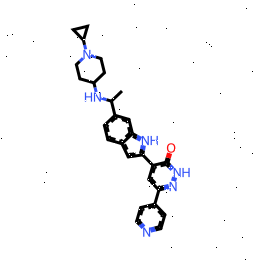 CC(NC1CCN(C2CC2)CC1)c1ccc2cc(-c3cc(-c4ccncc4)n[nH]c3=O)[nH]c2c1